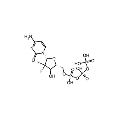 Nc1ccn([C@@H]2O[C@H](COP(=O)(O)OP(=O)(O)OP(=O)(O)O)[C@@H](O)C2(F)F)c(=O)n1